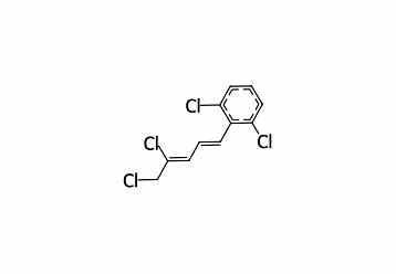 ClCC(Cl)=CC=Cc1c(Cl)cccc1Cl